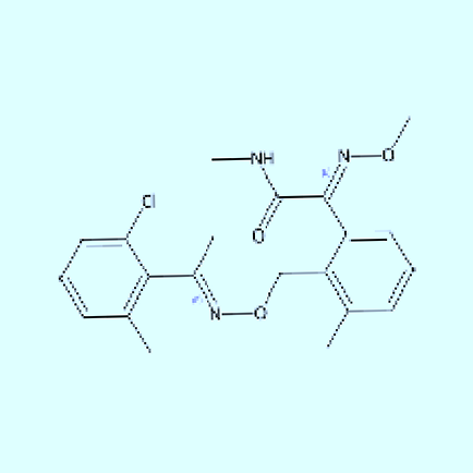 CNC(=O)/C(=N/OC)c1cccc(C)c1CO/N=C(\C)c1c(C)cccc1Cl